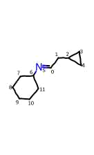 C(CC1CC1)=NC1CCCCC1